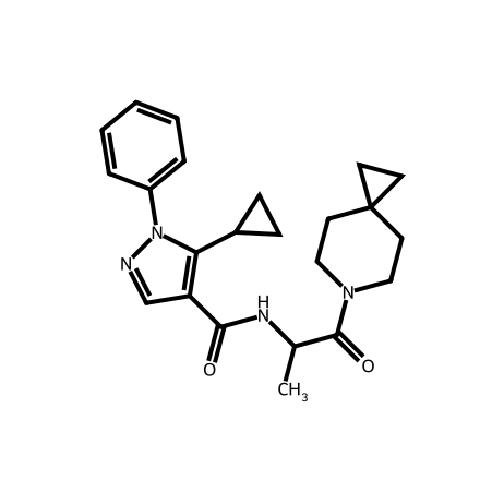 CC(NC(=O)c1cnn(-c2ccccc2)c1C1CC1)C(=O)N1CCC2(CC1)CC2